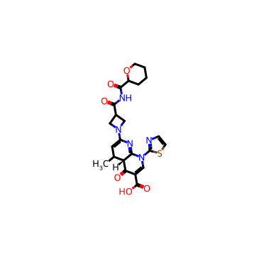 CC1C=C(N2CC(C(=O)NC(=O)C3CCCCO3)C2)N=C2[C@@H]1C(=O)C(C(=O)O)=CN2c1nccs1